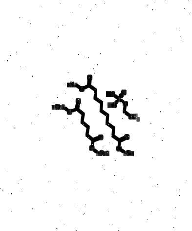 CCCCCCCCOC(=O)CCCCC(=O)OCCCCCCCC.CCCCOC(=O)CCCCCCCCC(=O)OCCCC.O=P(O)(O)OCC(Cl)(Cl)Cl